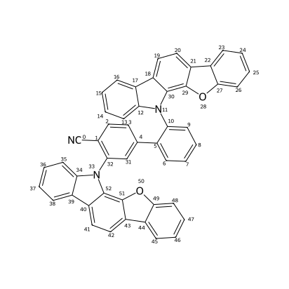 N#Cc1ccc(-c2ccccc2-n2c3ccccc3c3ccc4c5ccccc5oc4c32)cc1-n1c2ccccc2c2ccc3c4ccccc4oc3c21